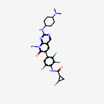 CC(C)n1c(=O)c(-c2cc(F)c(NC(=O)C3CC3F)c(F)c2F)cc2cnc(NC3CCC(N(C)C)CC3)nc21